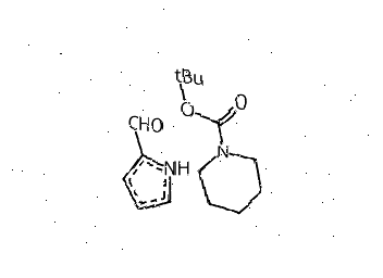 CC(C)(C)OC(=O)N1CCCCC1.O=Cc1ccc[nH]1